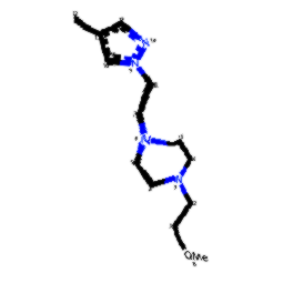 COCCN1CCN(CCn2cc(C)cn2)CC1